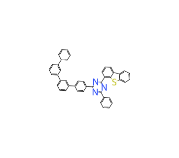 c1ccc(-c2cccc(-c3cccc(-c4ccc(-c5nc(-c6ccccc6)nc(-c6cccc7c6sc6ccccc67)n5)cc4)c3)c2)cc1